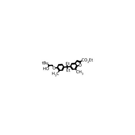 CCOC(=O)c1cc2cc(C(CC)(CC)c3ccc(OCC(O)C(C)(C)C)c(C)c3)cc(C)c2o1